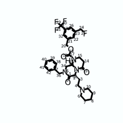 O=C1[C@H](CCN2CCCCC2)N2C(=O)CCN(C(=O)OCc3cc(CF)cc(C(F)(F)F)c3)[C@H]2CN1Cc1ccccc1